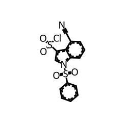 N#Cc1cccc2c1c(S(=O)(=O)Cl)cn2S(=O)(=O)c1ccccc1